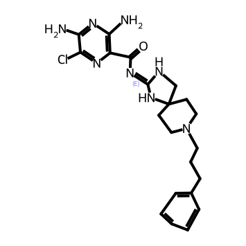 Nc1nc(N)c(C(=O)/N=C2\NCC3(CCN(CCCc4ccccc4)CC3)N2)nc1Cl